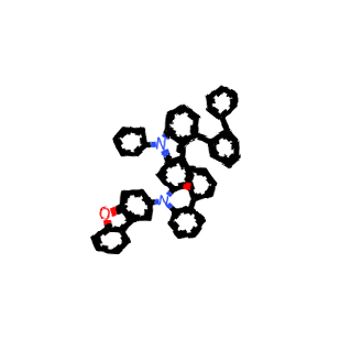 c1ccc(-c2ccccc2-c2cccc3c2c2ccc(N(c4ccc5oc6ccccc6c5c4)c4ccccc4-c4ccccc4)cc2n3-c2ccccc2)cc1